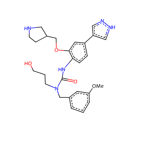 COc1cccc(CN(CCCO)C(=O)Nc2ccc(-c3cn[nH]c3)cc2OCC2CCNC2)c1